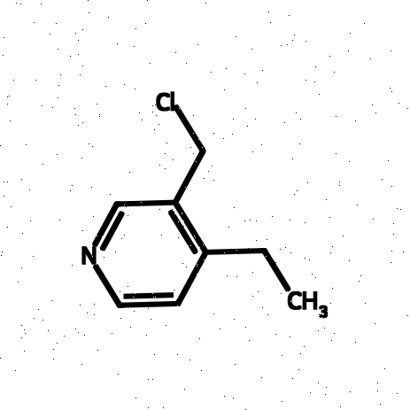 CCc1ccncc1CCl